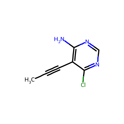 CC#Cc1c(N)ncnc1Cl